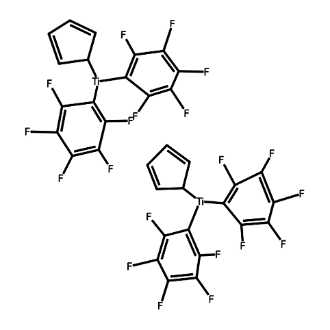 Fc1c(F)c(F)[c]([Ti]([c]2c(F)c(F)c(F)c(F)c2F)[CH]2C=CC=C2)c(F)c1F.Fc1c(F)c(F)[c]([Ti]([c]2c(F)c(F)c(F)c(F)c2F)[CH]2C=CC=C2)c(F)c1F